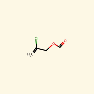 C=C(Cl)COC=O